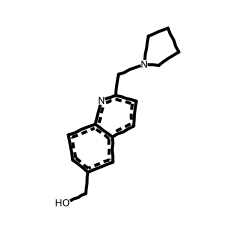 OCc1ccc2nc(CN3CCCC3)ccc2c1